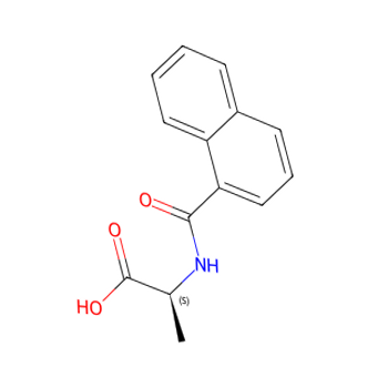 C[C@H](NC(=O)c1cccc2ccccc12)C(=O)O